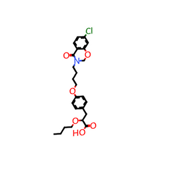 CCCCOC(Cc1ccc(OCCCCN2COc3cc(Cl)ccc3C2=O)cc1)C(=O)O